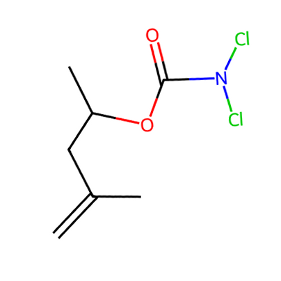 C=C(C)CC(C)OC(=O)N(Cl)Cl